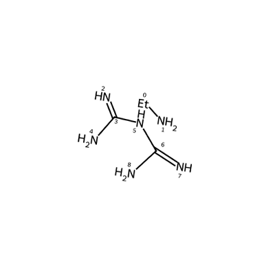 CCN.N=C(N)NC(=N)N